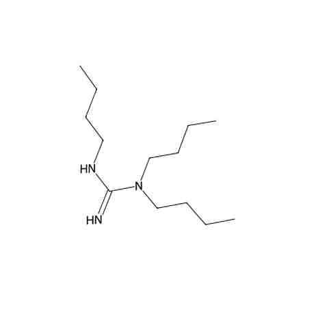 CCCCNC(=N)N(CCCC)CCCC